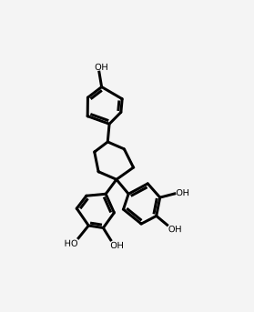 Oc1ccc(C2CCC(c3ccc(O)c(O)c3)(c3ccc(O)c(O)c3)CC2)cc1